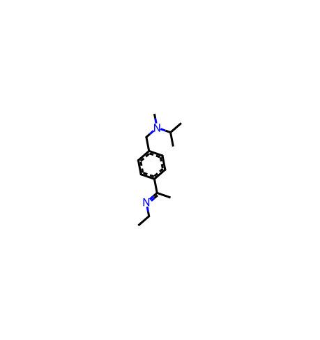 CC/N=C(\C)c1ccc(CN(C)C(C)C)cc1